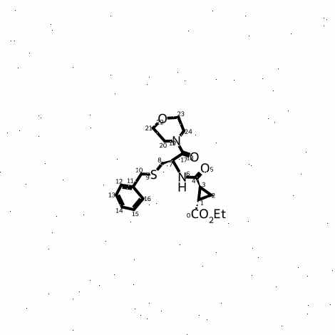 CCOC(=O)[C@H]1C[C@@H]1C(=O)N[C@@H](CSCc1ccccc1)C(=O)N1CCOCC1